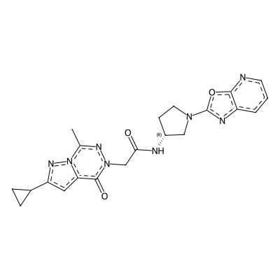 Cc1nn(CC(=O)N[C@@H]2CCN(c3nc4cccnc4o3)C2)c(=O)c2cc(C3CC3)nn12